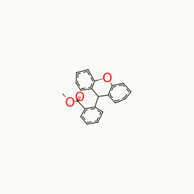 COC(=O)c1ccccc1C1c2ccccc2Oc2ccccc21